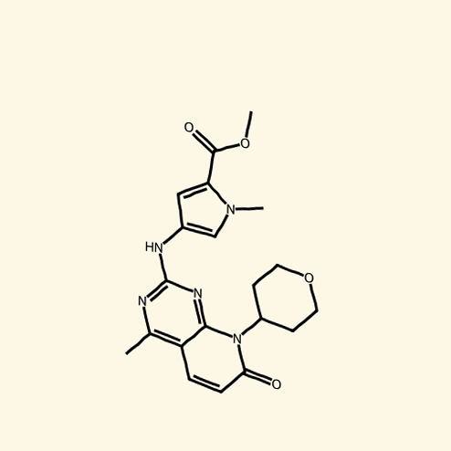 COC(=O)c1cc(Nc2nc(C)c3ccc(=O)n(C4CCOCC4)c3n2)cn1C